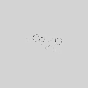 CN(C(=O)C(O)c1nc2ccc(Cl)cc2s1)c1ccccc1